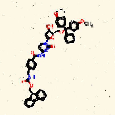 COc1ccc(C(OC[C@H]2O[C@@H](n3ccc(NC(=O)c4ccc(CNC(=O)OCC5c6ccccc6-c6ccccc65)cc4)nc3=O)CC2O)(c2ccccc2)c2ccc(OC)cc2)cc1